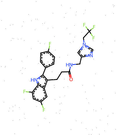 O=C(CCc1c(-c2ccc(F)cc2)[nH]c2c(F)cc(F)cc12)NCc1cn(CC(F)(F)F)cn1